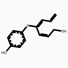 C=C/C=C(\C=C/CO)Sc1ccc(O)cc1